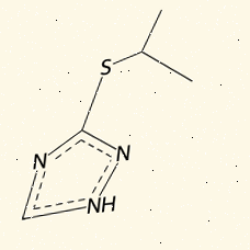 CC(C)Sc1nc[nH]n1